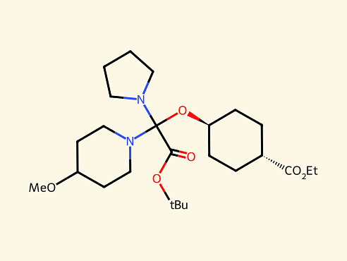 CCOC(=O)[C@H]1CC[C@H](OC(C(=O)OC(C)(C)C)(N2CCCC2)N2CCC(OC)CC2)CC1